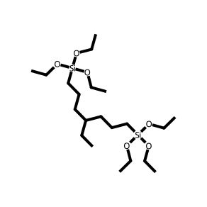 CCO[Si](CCCC(CC)CCC[Si](OCC)(OCC)OCC)(OCC)OCC